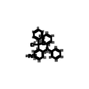 ClC(Cl)(c1ccccc1)c1ccccc1P(c1ccccc1)c1ccccc1.[Pd+2]